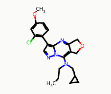 CCCN(CC1CC1)c1c2c(nc3c(-c4ccc(OC)cc4Cl)cnn13)COC2